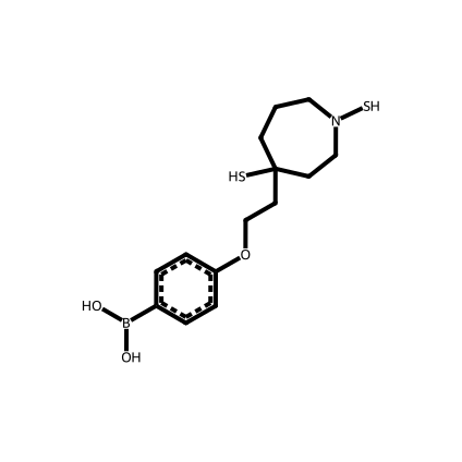 OB(O)c1ccc(OCCC2(S)CCCN(S)CC2)cc1